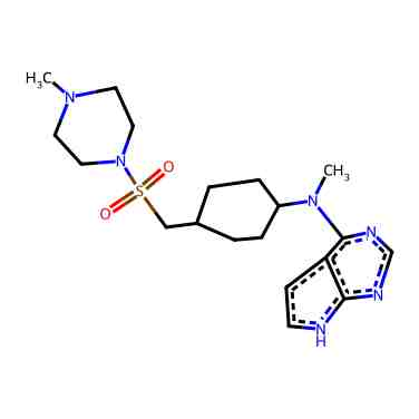 CN1CCN(S(=O)(=O)CC2CCC(N(C)c3ncnc4[nH]ccc34)CC2)CC1